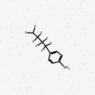 Nc1ccc(C(F)(F)C(F)(F)C(F)(F)C(F)F)cc1